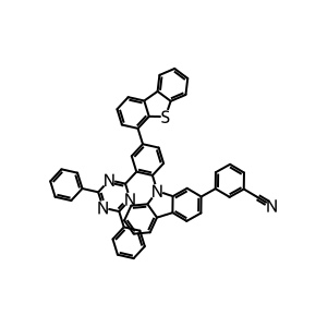 N#Cc1cccc(-c2ccc3c4ccccc4n(-c4ccc(-c5cccc6c5sc5ccccc56)cc4-c4nc(-c5ccccc5)nc(-c5ccccc5)n4)c3c2)c1